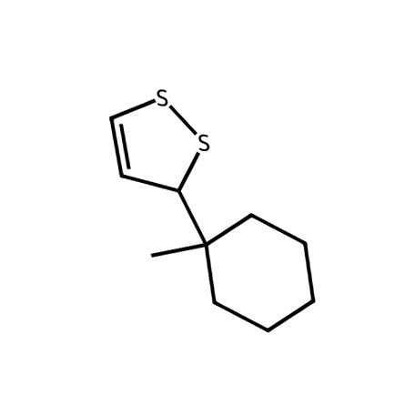 CC1(C2C=CSS2)CCCCC1